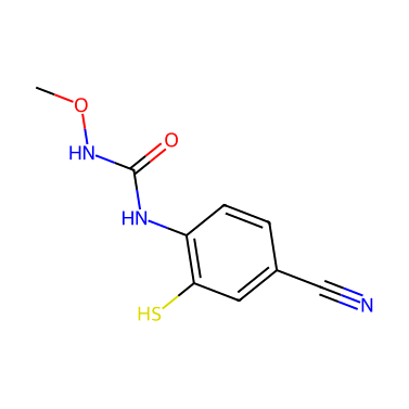 CONC(=O)Nc1ccc(C#N)cc1S